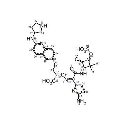 CC1(C)[C@H](NC(=O)/C(=N\O[C@@H](COc2ccc3nc(NC4CCNC4)ccc3c2)C(=O)O)c2csc(N)n2)C(=O)N1OS(=O)(=O)O